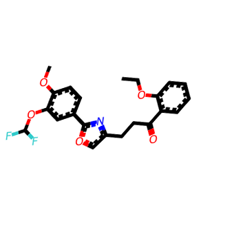 CCOc1ccccc1C(=O)CCc1coc(-c2ccc(OC)c(OC(F)F)c2)n1